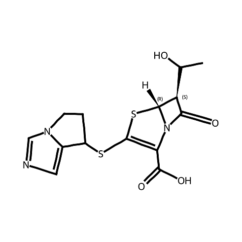 CC(O)[C@H]1C(=O)N2C(C(=O)O)=C(SC3CCn4cncc43)S[C@H]12